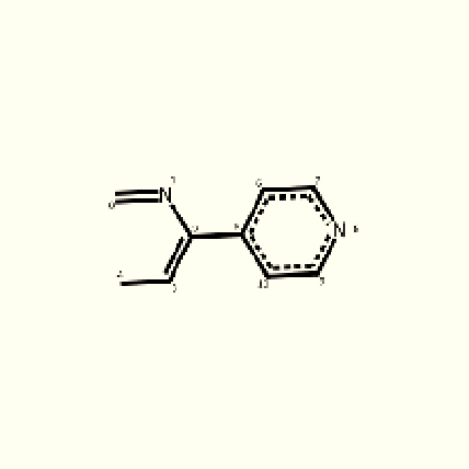 C=N/C(=C\C)c1ccncc1